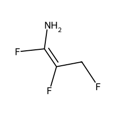 N/C(F)=C(/F)CF